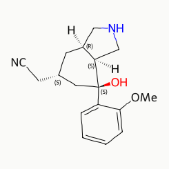 COc1ccccc1[C@]1(O)C[C@H](CC#N)C[C@H]2CNC[C@H]21